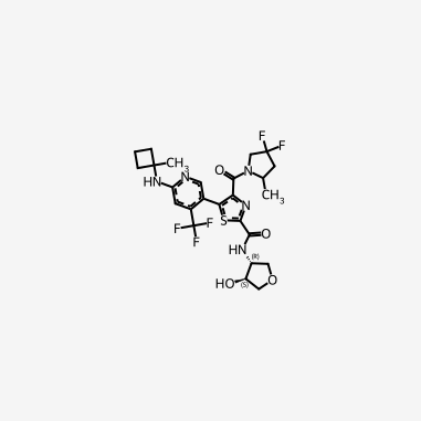 CC1CC(F)(F)CN1C(=O)c1nc(C(=O)N[C@@H]2COC[C@H]2O)sc1-c1cnc(NC2(C)CCC2)cc1C(F)(F)F